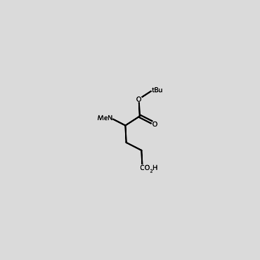 CNC(CCC(=O)O)C(=O)OC(C)(C)C